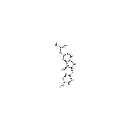 O=C(O)Cc1ccc2c(c1)C(=O)C(=Cc1ccc(Cl)cc1)C2